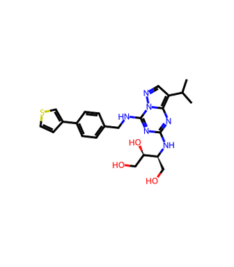 CC(C)c1cnn2c(NCc3ccc(-c4ccsc4)cc3)nc(N[C@@H](CO)[C@H](O)CO)nc12